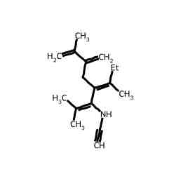 C#CNC(=C(C)C)/C(CC(=C)C(=C)C)=C(\C)CC